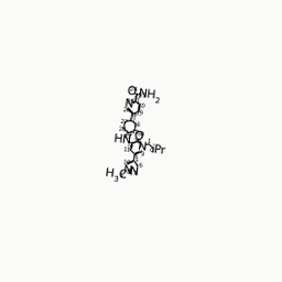 CC(C)Cn1cc(-c2cnn(C)c2)cc(N[C@H]2CC[C@H](c3ccc(C(N)=O)nc3)CC2)c1=O